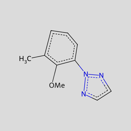 COc1c(C)cccc1-n1nccn1